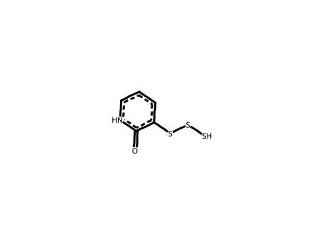 O=c1[nH]cccc1SSS